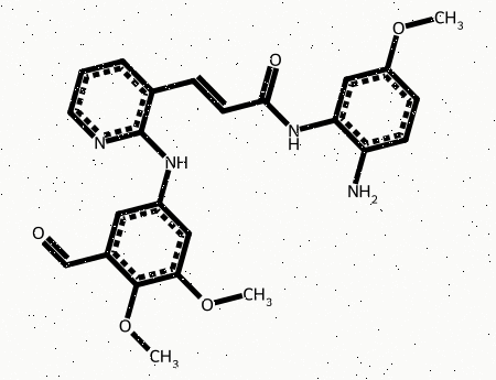 COc1ccc(N)c(NC(=O)/C=C/c2cccnc2Nc2cc(C=O)c(OC)c(OC)c2)c1